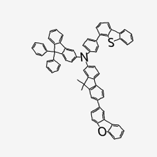 CC1(C)c2cc(-c3ccc4oc5ccccc5c4c3)ccc2-c2ccc(N(c3ccc(-c4cccc5c4sc4ccccc45)cc3)c3ccc4c(c3)-c3ccccc3C4(c3ccccc3)c3ccccc3)cc21